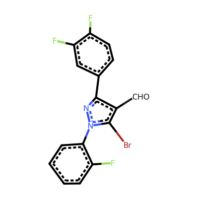 O=Cc1c(-c2ccc(F)c(F)c2)nn(-c2ccccc2F)c1Br